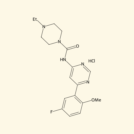 CCN1CCN(C(=O)Nc2cc(-c3cc(F)ccc3OC)ncn2)CC1.Cl